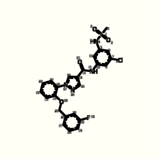 CS(=O)(=O)Nc1cc(Cl)cc(NC(=O)c2cnn(-c3ccccc3OCc3cccc(F)c3)c2)c1